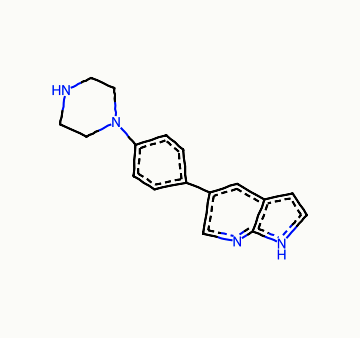 c1cc2cc(-c3ccc(N4CCNCC4)cc3)cnc2[nH]1